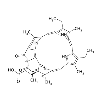 CCc1c2[nH]c(c1C)C=C1N=C(C3=C4NC(C=c5[nH]c(c(C)c5CC)=C2)C(C)=C4C(=O)[C@H]3C(=O)OC)[C@H](CCC(=O)O)[C@H]1C